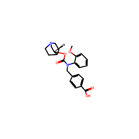 COc1ccccc1N(Cc1ccc(C(=O)O)cc1)C(=O)O[C@H]1CN2CCC1CC2